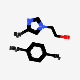 Cc1ccc(S(=O)(=O)O)cc1.O=[N+]([O-])c1cn(CCO)cn1